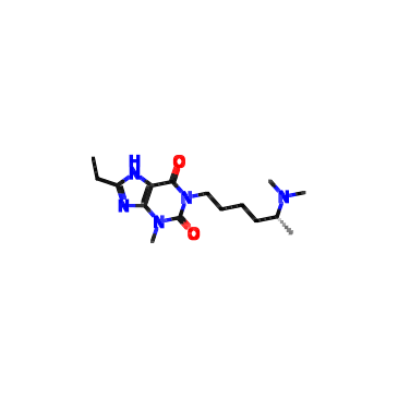 CCc1nc2c([nH]1)c(=O)n(CCCC[C@@H](C)N(C)C)c(=O)n2C